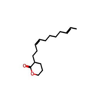 CC=CCCCC/C=C\CCC1CCCOC1=O